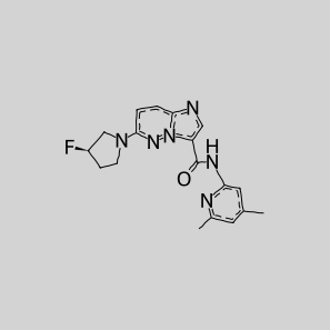 Cc1cc(C)nc(NC(=O)c2cnc3ccc(N4CC[C@@H](F)C4)nn23)c1